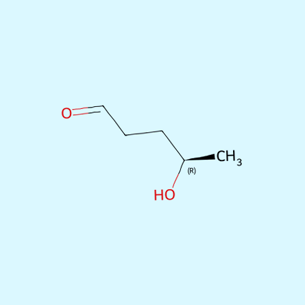 C[C@@H](O)CCC=O